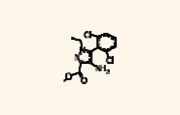 CCn1nc(C(=O)OC)c(N)c1-c1c(Cl)cccc1Cl